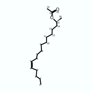 CCCC/C=C\CCCCCCCCC[C@H](C)OC(C)=O